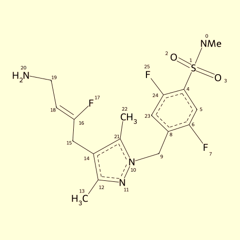 CNS(=O)(=O)c1cc(F)c(Cn2nc(C)c(C/C(F)=C/CN)c2C)cc1F